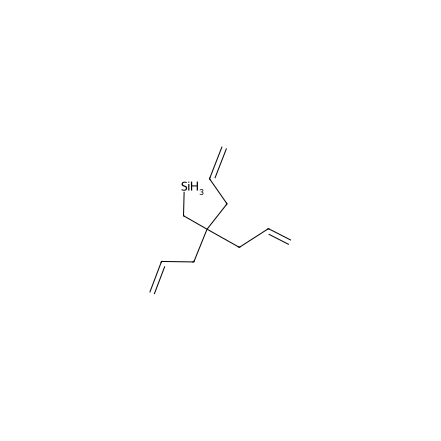 C=CCC(C[SiH3])(CC=C)CC=C